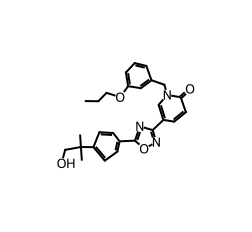 CCCOc1cccc(Cn2cc(-c3noc(-c4ccc(C(C)(C)CO)cc4)n3)ccc2=O)c1